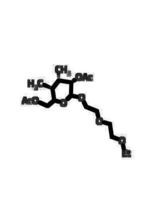 CCOCCOCCOC1OC(COC(C)=O)[C@@H](C)[C@H](C)[C@H]1OC(C)=O